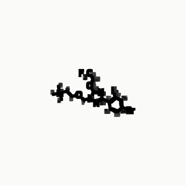 C[Si](C)(C)CCOCn1nc(-c2ccc(Br)cc2F)nc1OCC(F)(F)F